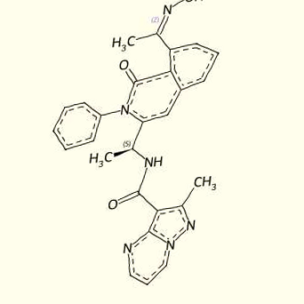 C/C(=N/O)c1cccc2cc([C@H](C)NC(=O)c3c(C)nn4cccnc34)n(-c3ccccc3)c(=O)c12